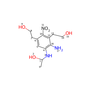 CC(O)Nc1cc(CCO)c([N+](=O)[O-])c(CCO)c1N